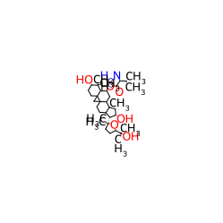 CC(C)C(N)C(=O)O[C@H]1CC2C3(CC[C@]4(C)[C@@H]([C@@]5(C)CCC(C(C)(C)O)O5)[C@@H](O)C[C@@]24C)CC32CC[C@H](O)C(C)(C)[C@H]12